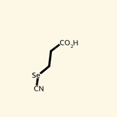 N#C[Se]CCC(=O)O